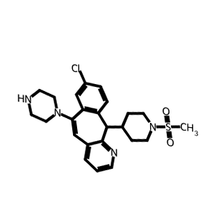 CS(=O)(=O)N1CCC(C2c3ccc(Cl)cc3C(N3CCNCC3)=Cc3cccnc32)CC1